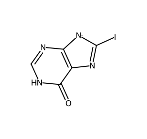 O=c1[nH]cnc2c1N=C(I)[N]2